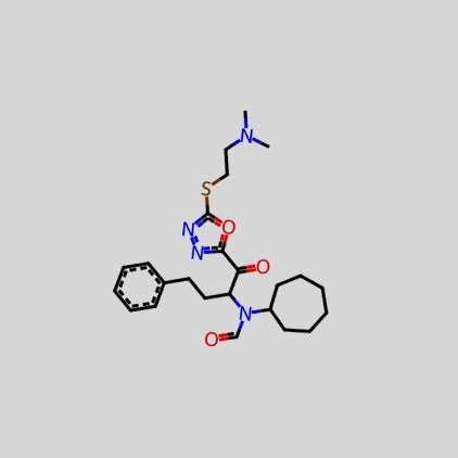 CN(C)CCSc1nnc(C(=O)C(CCc2ccccc2)N(C=O)C2CCCCCC2)o1